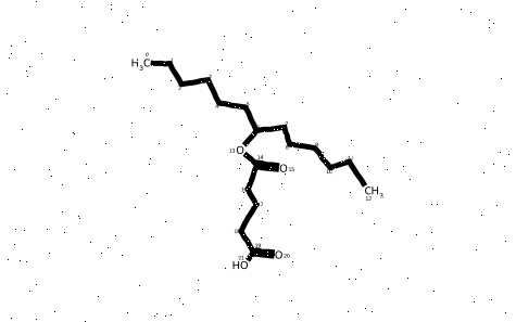 CCCCCCC(CCCCCC)OC(=O)CCCC(=O)O